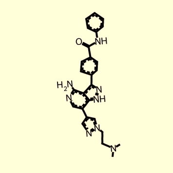 CN(C)CCn1cc(-c2cnc(N)c3c(-c4ccc(C(=O)Nc5ccccc5)cc4)n[nH]c23)cn1